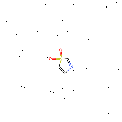 O=S1(=O)[C]=CN=C1